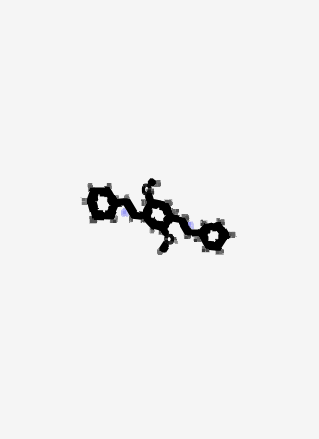 COc1cc(/C=C/c2ccccc2)c(OC)cc1/C=C/c1ccccc1